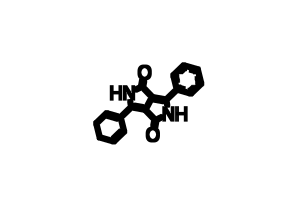 O=C1NC(c2ccccc2)=C2C(=O)NC(C3=CCCC=C3)=C12